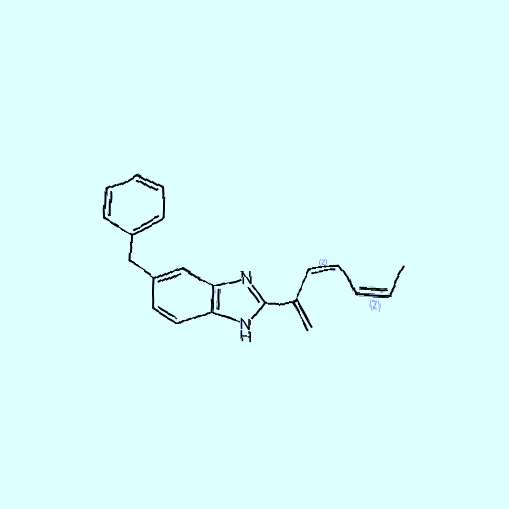 C=C(/C=C\C=C/C)c1nc2cc(Cc3ccccc3)ccc2[nH]1